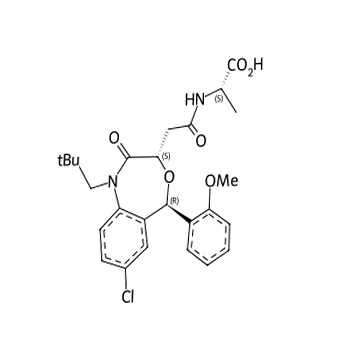 COc1ccccc1[C@@H]1O[C@@H](CC(=O)N[C@@H](C)C(=O)O)C(=O)N(CC(C)(C)C)c2ccc(Cl)cc21